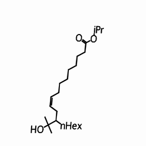 CCCCCCC(C/C=C\CCCCCCCC(=O)OC(C)C)C(C)(C)O